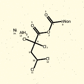 CCCCCCCCCC(=O)OC(=O)C(Cl)(Cl)CC(Cl)Cl.[AlH3].[Ni]